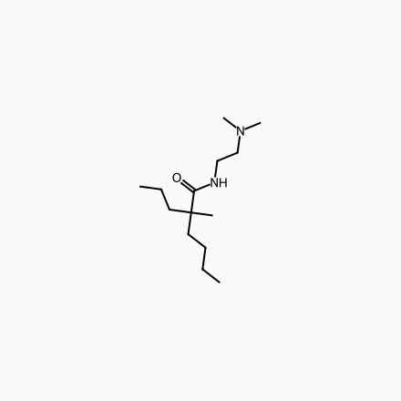 CCCCC(C)(CCC)C(=O)NCCN(C)C